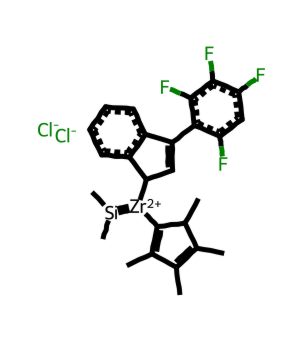 CC1=C(C)C(C)[C]([Zr+2]([CH]2C=C(c3c(F)cc(F)c(F)c3F)c3ccccc32)=[Si](C)C)=C1C.[Cl-].[Cl-]